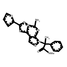 CNC(=O)C(C)(c1ccccc1)n1ncc2c1nc(N)n1nc(-c3ccco3)nc21